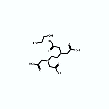 O=C(O)CN(CCN(CC(=O)O)CC(=O)O)CC(=O)O.OCCS